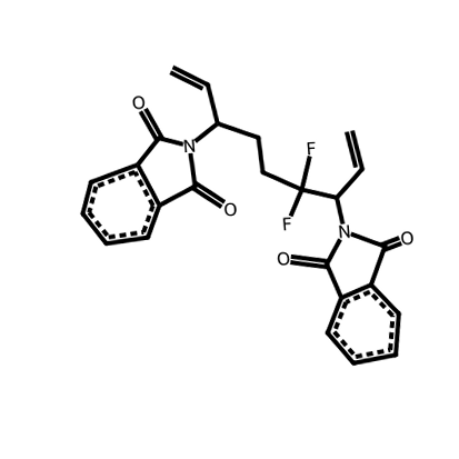 C=CC(CCC(F)(F)C(C=C)N1C(=O)c2ccccc2C1=O)N1C(=O)c2ccccc2C1=O